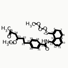 COOOSc1cccc2cccc(NC(=O)c3ccc(CCC(CC(C)=O)OC)cc3)c12